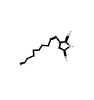 C=CCCCCCC/C=C\C1CC(=O)OC1=O